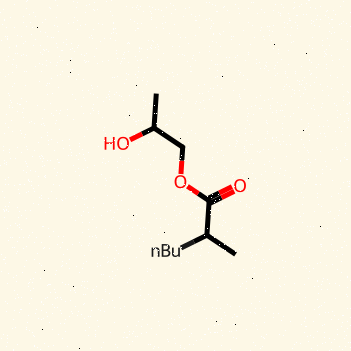 CCCCC(C)C(=O)OCC(C)O